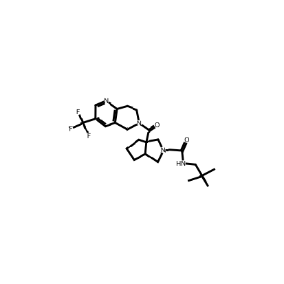 CC(C)(C)CNC(=O)N1CC2CCCC2(C(=O)N2CCc3ncc(C(F)(F)F)cc3C2)C1